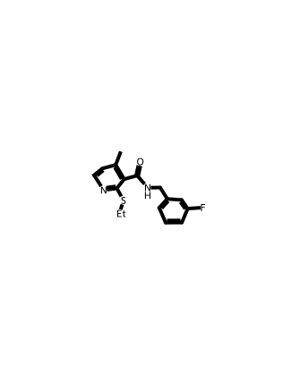 CCSc1nccc(C)c1C(=O)NCc1cccc(F)c1